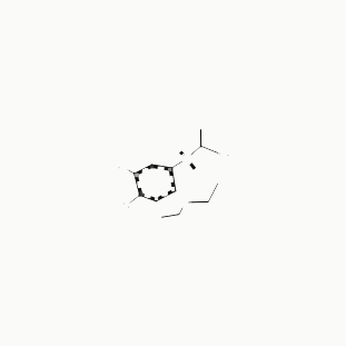 CC(O)S(=O)(=O)c1ccc(N)c(O)c1.CCOCC